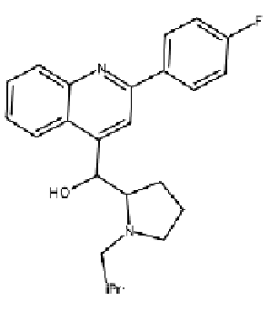 C[C](C)CN1CCCC1C(O)c1cc(-c2ccc(F)cc2)nc2ccccc12